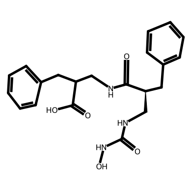 O=C(NO)NC[C@H](Cc1ccccc1)C(=O)NCC(Cc1ccccc1)C(=O)O